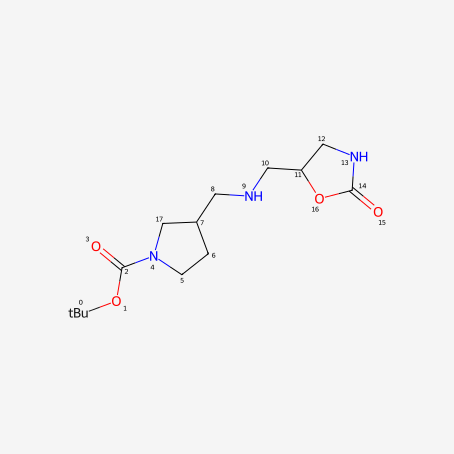 CC(C)(C)OC(=O)N1CCC(CNCC2CNC(=O)O2)C1